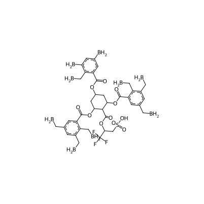 BCc1cc(CB)c(CB)c(C(=O)OC2CC(OC(=O)c3cc(B)cc(B)c3CB)CC(OC(=O)c3cc(CB)cc(CB)c3CB)C2C(=O)OC(CS(=O)(=O)O)C(F)(F)F)c1